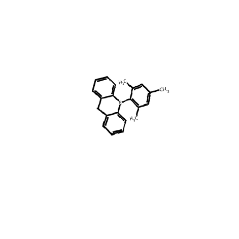 Cc1cc(C)c(B2c3ccccc3Cc3ccccc32)c(C)c1